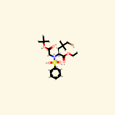 CCOC(=O)[C@H](CC(C)(C)CBr)N(CC(=O)OC(C)(C)C)S(=O)(=O)c1ccccc1